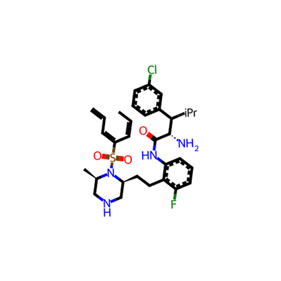 C=C/C=C(\C=C/C)S(=O)(=O)N1[C@@H](CCc2c(F)cccc2NC(=O)[C@@H](N)C(c2cccc(Cl)c2)C(C)C)CNC[C@H]1C